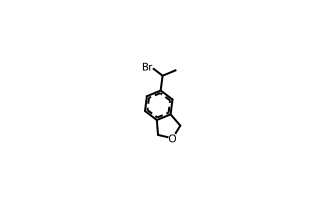 CC(Br)c1ccc2c(c1)COC2